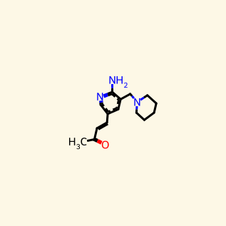 CC(=O)/C=C/c1cnc(N)c(CN2CCCCC2)c1